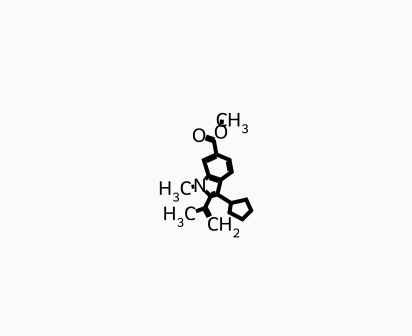 C=C(C)c1c(C2CCCC2)c2ccc(C(=O)OC)cc2n1C